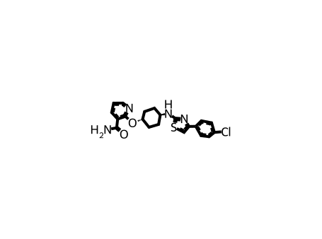 NC(=O)c1cccnc1O[C@H]1CC[C@H](Nc2nc(-c3ccc(Cl)cc3)cs2)CC1